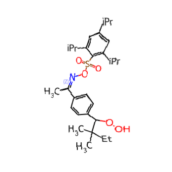 CCC(C)(C)C(OO)c1ccc(/C(C)=N\OS(=O)(=O)c2c(C(C)C)cc(C(C)C)cc2C(C)C)cc1